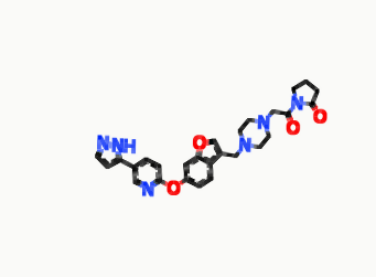 O=C1CCCN1C(=O)CN1CCN(Cc2coc3cc(Oc4ccc(-c5ccn[nH]5)cn4)ccc23)CC1